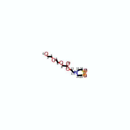 COCCOCCOCC(=O)OCCN1CCS(=O)(=O)CC1